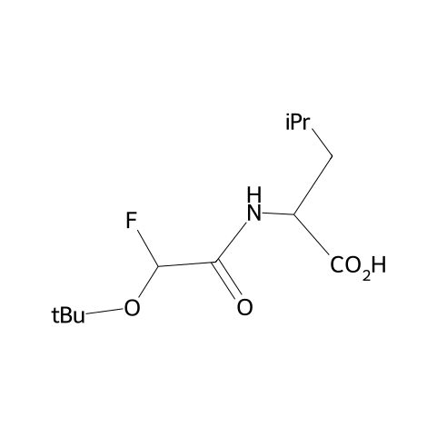 CC(C)CC(NC(=O)C(F)OC(C)(C)C)C(=O)O